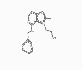 Cc1cc2ccnc(NCc3ccccc3)c2n1CCO